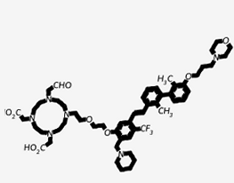 Cc1c(/C=C/c2cc(OCCOCCN3CCN(CC=O)CCN(CC(=O)O)CCN(CC(=O)O)CC3)c(CN3CCCCC3)cc2C(F)(F)F)cccc1-c1cccc(OCCCN2CCOCC2)c1C